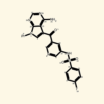 CC(C)n1cc(C(=O)c2cncc(NS(=O)(=O)c3ccc(F)cc3)c2)c2c(N)ncnc21